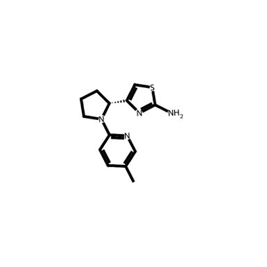 Cc1ccc(N2CCC[C@@H]2c2csc(N)n2)nc1